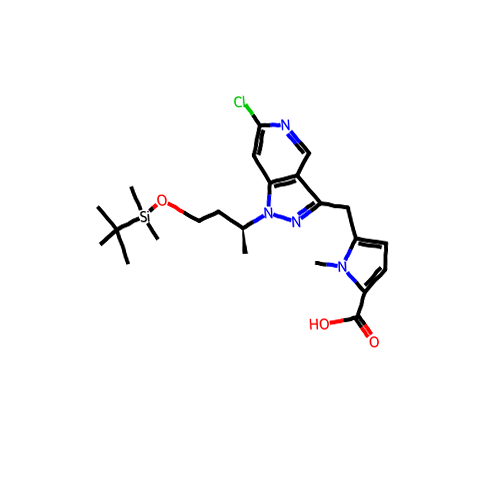 C[C@@H](CCO[Si](C)(C)C(C)(C)C)n1nc(Cc2ccc(C(=O)O)n2C)c2cnc(Cl)cc21